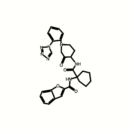 O=C(NC1(C(=O)NC2CCN(c3ccccc3-n3cnnn3)CC2=O)CCCCC1)c1cc2ccccc2o1